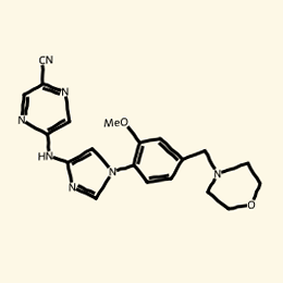 COc1cc(CN2CCOCC2)ccc1-n1cnc(Nc2cnc(C#N)cn2)c1